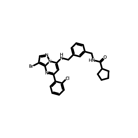 O=C(NCc1cccc(CNc2cc(-c3ccccc3Cl)nc3c(Br)cnn23)c1)C1CCCC1